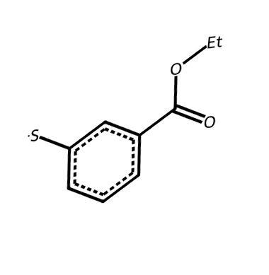 CCOC(=O)c1cccc([S])c1